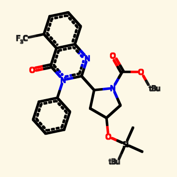 CC(C)(C)OC(=O)N1CC(O[Si](C)(C)C(C)(C)C)CC1c1nc2cccc(C(F)(F)F)c2c(=O)n1-c1ccccc1